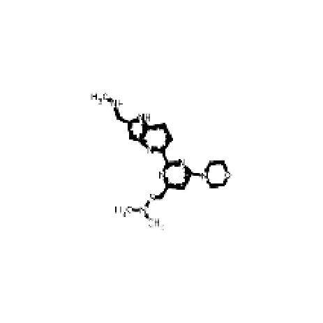 CNCc1cc2nc(-c3nc(CSN(C)C)cc(N4CCOCC4)n3)ccc2[nH]1